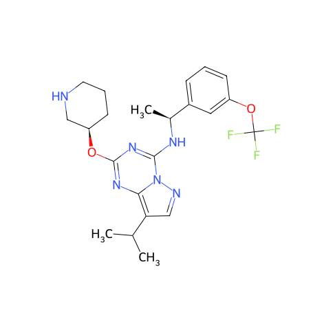 CC(C)c1cnn2c(N[C@@H](C)c3cccc(OC(F)(F)F)c3)nc(O[C@@H]3CCCNC3)nc12